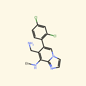 CCNc1c(CN)c(-c2ccc(Cl)cc2Cl)cn2ccnc12